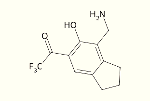 NCc1c(O)c(C(=O)C(F)(F)F)cc2c1CCC2